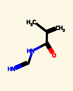 C=C(C)C(=O)NC=N